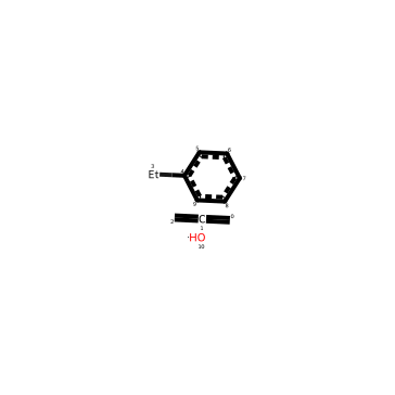 C=C=C.[CH2]Cc1ccccc1.[OH]